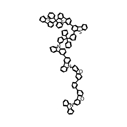 c1ccc(C(c2ccccc2)(c2cccc(-c3cc(-c4ccc5c(c4)sc4c(C(c6ccccc6)(c6ccccc6)c6cccc7c6sc6ccccc67)cccc45)cc4c3sc3ccccc34)c2)c2cccc(-n3c4ccccc4c4cc(-c5ccc6c(c5)c5ccccc5n6-c5ccc6oc7ccc(-c8cccc(-c9ccc%10oc%11ccc(-n%12c%13ccccc%13c%13ccccc%13%12)cc%11c%10c9)c8)cc7c6c5)ccc43)c2)cc1